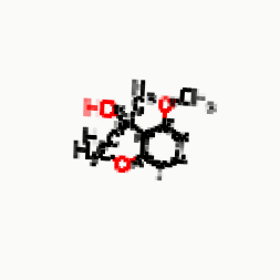 COc1cccc(OC)c1[Si](C)(C)O